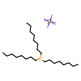 CCCCCCCCP(CCCCCCCC)CCCCCCCC.[I][Sn]([I])([I])[I]